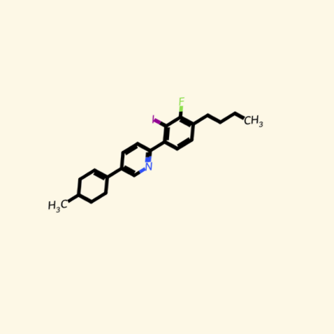 CCCCc1ccc(-c2ccc(C3=CCC(C)CC3)cn2)c(I)c1F